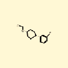 Fc1cccc([C@H]2CC[C@@H](OCCl)CC2)c1